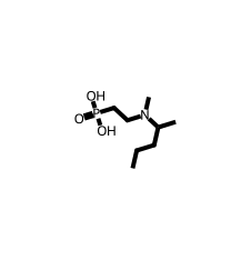 CCCC(C)N(C)CCP(=O)(O)O